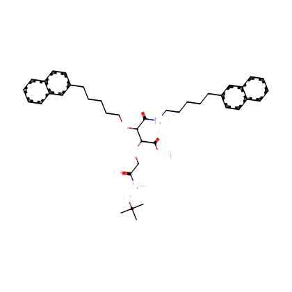 CC(C)(C)ONC(=O)COC(C(=O)O)C(OCCCCCc1ccc2ccccc2c1)C(=O)NCCCCCc1ccc2ccccc2c1